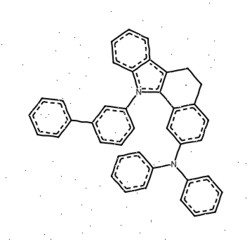 c1ccc(-c2cccc(-n3c4c(c5ccccc53)CCc3ccc(N(c5ccccc5)c5ccccc5)cc3-4)c2)cc1